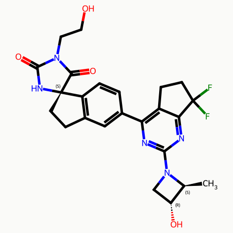 C[C@H]1[C@H](O)CN1c1nc(-c2ccc3c(c2)CC[C@]32NC(=O)N(CCO)C2=O)c2c(n1)C(F)(F)CC2